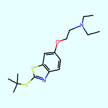 CCN(CC)CCOc1ccc2nc(SC(C)(C)C)sc2c1